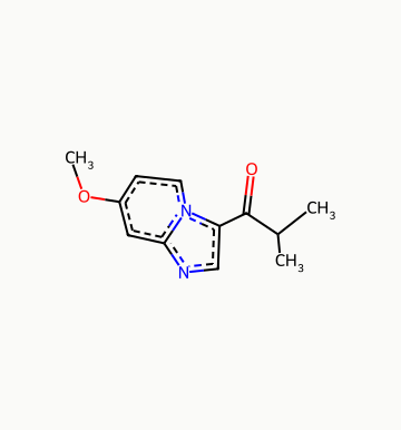 COc1ccn2c(C(=O)C(C)C)cnc2c1